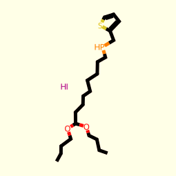 CCCCOC(CCCCCCCCPCc1cccs1)OCCCC.I